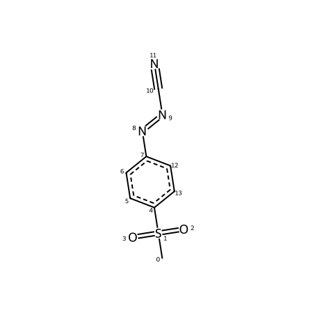 CS(=O)(=O)c1ccc(N=NC#N)cc1